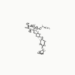 CCOCCC1(Oc2ccc(Oc3ccc(-c4cn[nH]c4)cc3)cc2)C(=O)NC(=O)NC1=O